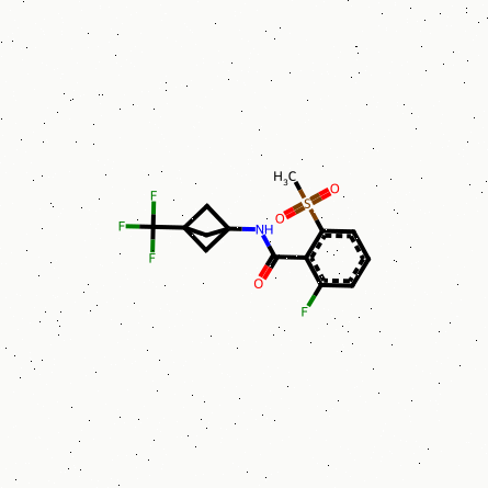 CS(=O)(=O)c1cccc(F)c1C(=O)NC12CC(C(F)(F)F)(C1)C2